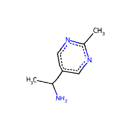 Cc1ncc(C(C)N)cn1